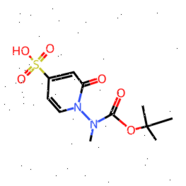 CN(C(=O)OC(C)(C)C)n1ccc(S(=O)(=O)O)cc1=O